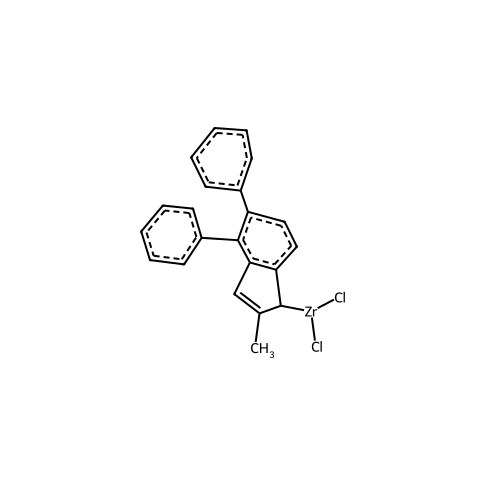 CC1=Cc2c(ccc(-c3ccccc3)c2-c2ccccc2)[CH]1[Zr]([Cl])[Cl]